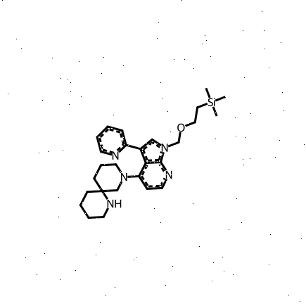 C[Si](C)(C)CCOCn1cc(-c2ccccn2)c2c(N3CCCC4(CCCCN4)C3)ccnc21